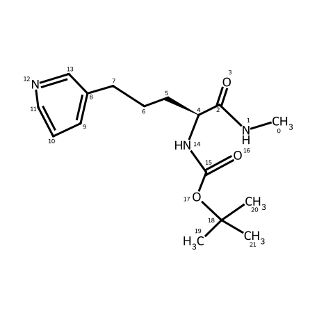 CNC(=O)[C@H](CCCc1cccnc1)NC(=O)OC(C)(C)C